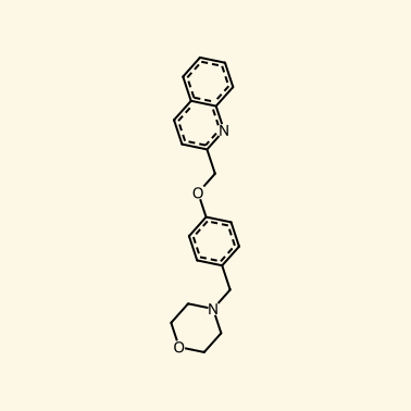 c1ccc2nc(COc3ccc(CN4CCOCC4)cc3)ccc2c1